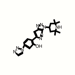 CC1(C)CC(n2nnc3cc(-c4ccc(-n5ccnn5)cc4O)nnc32)CC(C)(C)N1